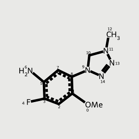 COc1cc(F)c(N)cc1N1CN(C)N=N1